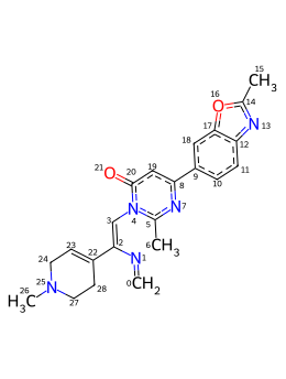 C=N/C(=C\n1c(C)nc(-c2ccc3nc(C)oc3c2)cc1=O)C1=CCN(C)CC1